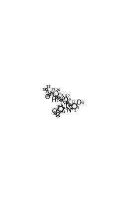 COc1ccc2nc(-c3ccc4c(c3)OCO4)n(-c3ccnc(N[C@H]4CCCN(C(=O)C5CC5)C4)n3)c2c1